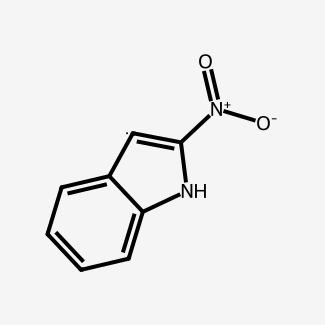 O=[N+]([O-])c1[c]c2ccccc2[nH]1